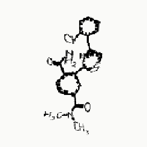 CN(C)C(=O)c1ccc(C(N)=O)c(-c2nc(-c3ccccc3Cl)cs2)c1